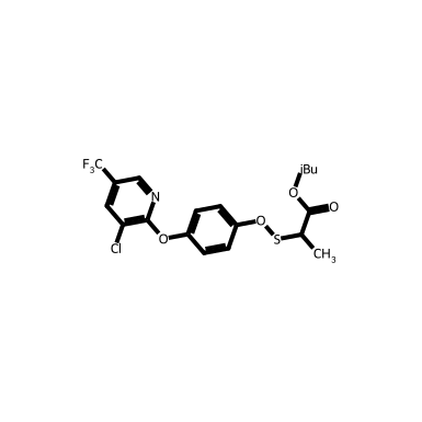 CCC(C)OC(=O)C(C)SOc1ccc(Oc2ncc(C(F)(F)F)cc2Cl)cc1